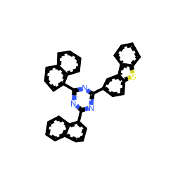 c1ccc2c(-c3nc(-c4ccc5sc6ccccc6c5c4)nc(-c4cccc5ccccc45)n3)cccc2c1